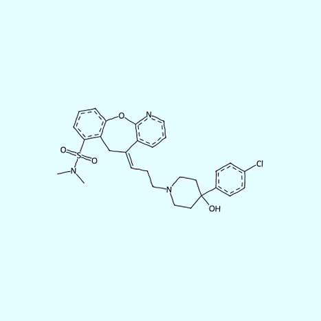 CN(C)S(=O)(=O)c1cccc2c1C/C(=C/CCN1CCC(O)(c3ccc(Cl)cc3)CC1)c1cccnc1O2